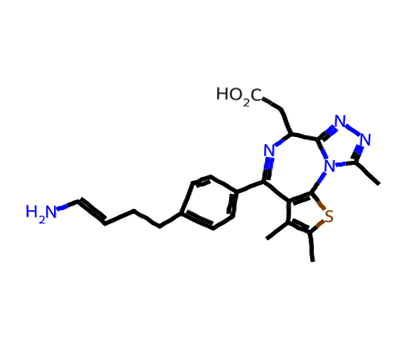 Cc1sc2c(c1C)C(c1ccc(CCC=CN)cc1)=NC(CC(=O)O)c1nnc(C)n1-2